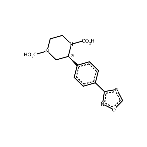 O=C(O)N1CCN(C(=O)O)[C@@H](c2ccc(-c3ncon3)cc2)C1